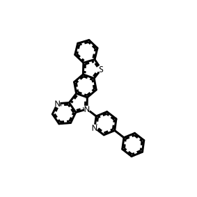 c1ccc(-c2ccc(-n3c4cc5sc6ccccc6c5cc4c4ncccc43)nc2)cc1